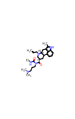 C=CCN1C[C@H](C(=O)N(CCCN(C)C)C(=O)NCC)CC2c3cccc4[nH]c(C)c(c34)C[C@H]21